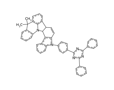 CC1(C)c2ccccc2N2c3c(cccc31)C1C=Cc3c(c4ccccc4n3-c3ccc(-c4nc(-c5ccccc5)nc(-c5ccccc5)n4)cc3)C12